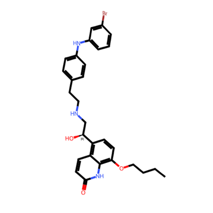 CCCCOc1ccc([C@@H](O)CNCCc2ccc(Nc3cccc(Br)c3)cc2)c2ccc(=O)[nH]c12